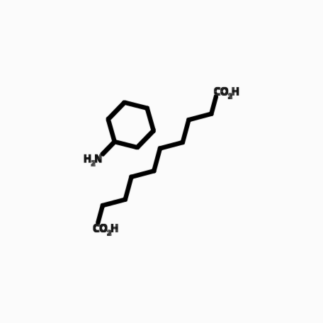 NC1CCCCC1.O=C(O)CCCCCCCCC(=O)O